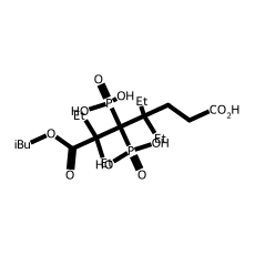 CCC(C)OC(=O)C(CC)(CC)C(C(CC)(CC)CCC(=O)O)(P(=O)(O)O)P(=O)(O)O